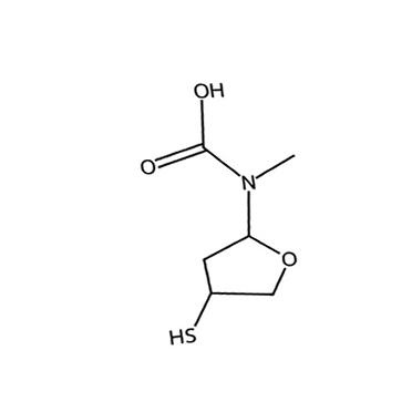 CN(C(=O)O)C1CC(S)CO1